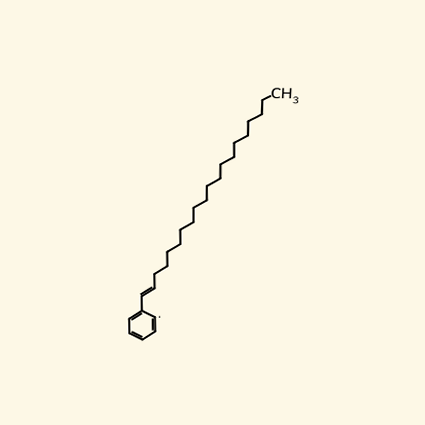 CCCCCCCCCCCCCCCCCCC=Cc1[c]cccc1